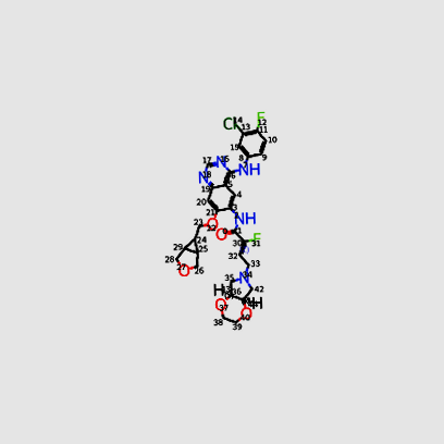 O=C(Nc1cc2c(Nc3ccc(F)c(Cl)c3)ncnc2cc1OCC1C2COCC21)/C(F)=C/CN1C[C@@H]2OCCO[C@@H]2C1